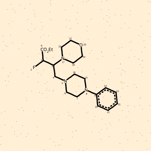 CCOC(=O)C(F)C(CN1CCN(c2ccccc2)CC1)N1CCOCC1